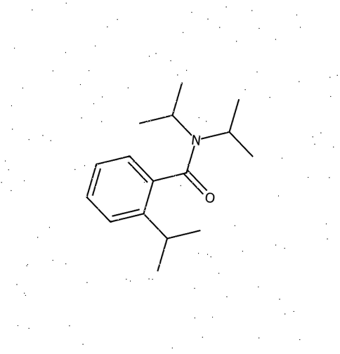 CC(C)c1ccccc1C(=O)N(C(C)C)C(C)C